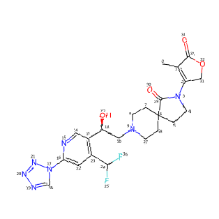 CC1=C(N2CCC3(CCN(C[C@H](O)c4cnc(-n5cnnn5)cc4C(F)F)CC3)C2=O)COC1=O